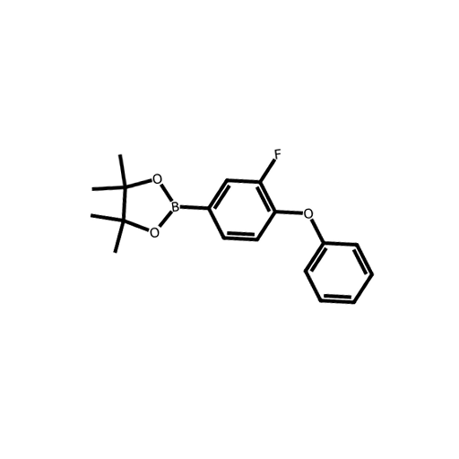 CC1(C)OB(c2ccc(Oc3ccccc3)c(F)c2)OC1(C)C